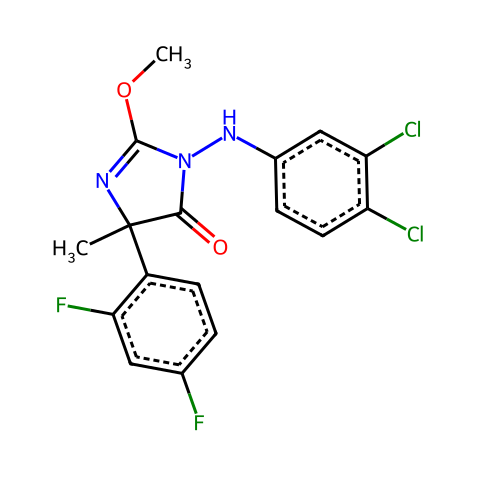 COC1=NC(C)(c2ccc(F)cc2F)C(=O)N1Nc1ccc(Cl)c(Cl)c1